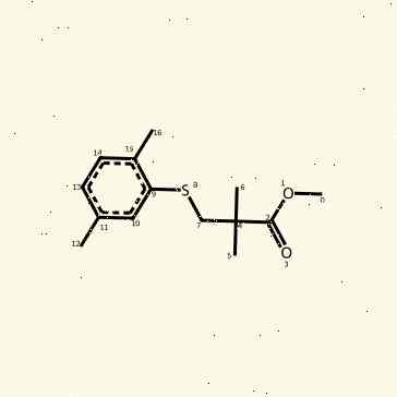 COC(=O)C(C)(C)CSc1cc(C)ccc1C